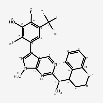 CN(c1ncc2c(-c3cc(C(F)(F)F)c(F)c(O)c3F)nn(C)c2n1)C1CCOc2ccccc21